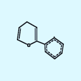 [c]1ccccc1C1=CCC=CO1